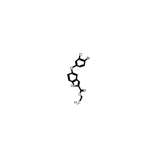 CCOC(=O)c1cc2cc(Oc3ccc(Br)c(Cl)c3)ccc2[nH]1